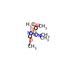 CCCCOc1ccc2ncc(S(=O)(=O)c3ccc(OC)c(OC)c3)c(N3CCC(N(CC)CC)CC3)c2c1